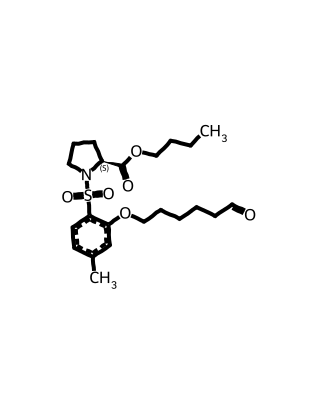 CCCCOC(=O)[C@@H]1CCCN1S(=O)(=O)c1ccc(C)cc1OCCCCCC=O